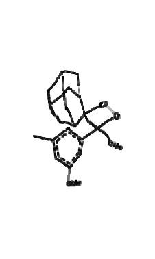 COc1cc(C)cc(C2(OC)OOC23C2CC4CC(C2)CC3C4)c1